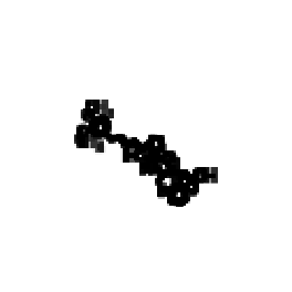 COc1ccc(CCCCCC2CCCC2(C(=O)O)C(=O)N[C@H]2CSc3ccccc3N(CC(=O)O)C2=O)cc1OC